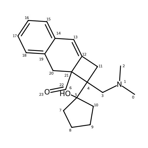 CN(C)CC1(C2(O)CCCC2)CC2=Cc3ccccc3CC21C=O